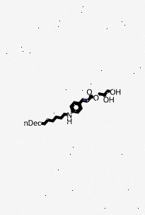 CCCCCCCCCCCCCCCCNc1ccc(/C=C/C(=O)OCC(O)CO)cc1